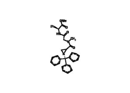 COC(=O)[C@@H](NC(=O)CN(C)C(=O)C1C[N@@]1C(c1ccccc1)(c1ccccc1)c1ccccc1)C(C)C